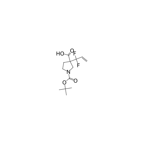 C=CC(F)(F)C1(C(=O)O)CCN(C(=O)OC(C)(C)C)C1